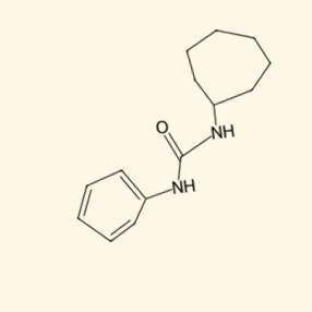 O=C(Nc1ccccc1)NC1CCCCCC1